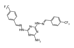 Nc1nc(NN=Cc2ccc(C(F)(F)F)cc2)nc(NN=Cc2ccc(C(F)(F)F)cc2)n1